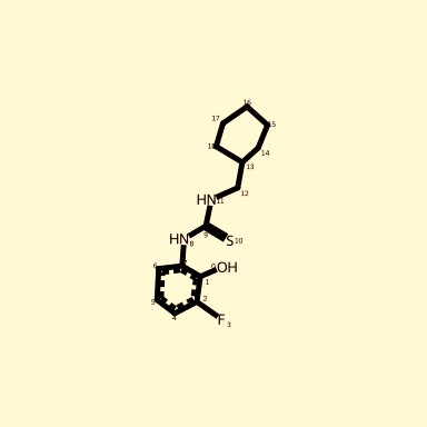 Oc1c(F)cccc1NC(=S)NCC1CCCCC1